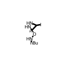 CCCCNO[C@H]1NNC1I